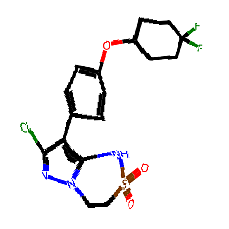 O=S1(=O)CCn2nc(Cl)c(-c3ccc(OC4CCC(F)(F)CC4)cc3)c2N1